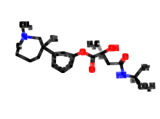 CCC1(c2cccc(OC(=O)[C@@](C)(O)CC(=O)N[C@H](C(=O)O)C(C)C)c2)CCCCN(C)C1